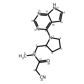 CN(CC1CCCN1c1ncnc2[nH]ccc12)C(=O)CC#N